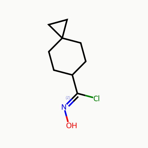 O/N=C(\Cl)C1CCC2(CC1)CC2